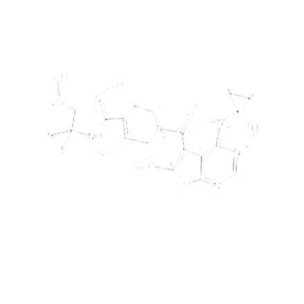 C/N=C(/NC1(COC)CC1)C1=C(C)CN(C(=O)c2c(C)oc3ncnc(NC4(C)CC4)c23)CC1